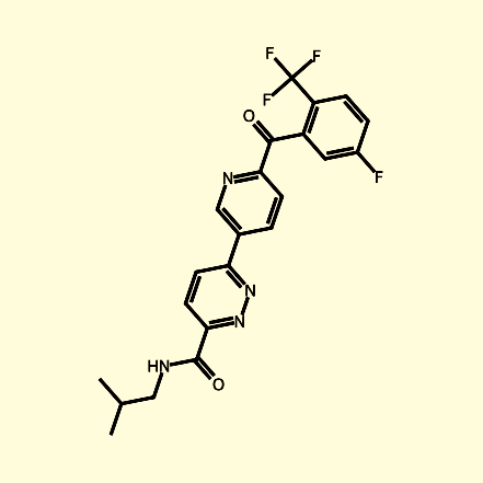 CC(C)CNC(=O)c1ccc(-c2ccc(C(=O)c3cc(F)ccc3C(F)(F)F)nc2)nn1